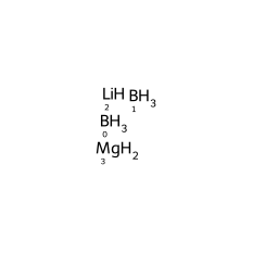 B.B.[LiH].[MgH2]